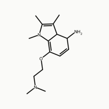 CC1=C(C)N(C)C2=C(OCCN(C)C)C=CC(N)C12